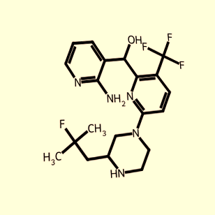 CC(C)(F)CC1CN(c2ccc(C(F)(F)F)c(C(O)c3cccnc3N)n2)CCN1